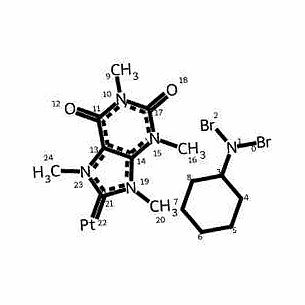 BrN(Br)C1CCCCC1.Cn1c(=O)c2c(n(C)c1=O)n(C)[c](=[Pt])n2C